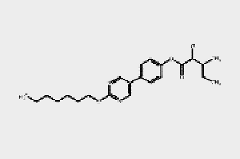 CCCCCCCSc1ncc(-c2ccc(OC(=O)C(Cl)C(C)CC)cc2)cn1